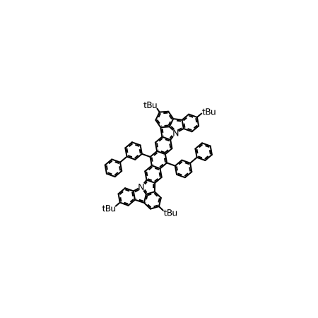 CC(C)(C)c1ccc2c(c1)c1cc(C(C)(C)C)cc3c4cc5c(-c6cccc(-c7ccccc7)c6)c6cc7c(cc6c(-c6cccc(-c8ccccc8)c6)c5cc4n2c13)c1cc(C(C)(C)C)cc2c3cc(C(C)(C)C)ccc3n7c21